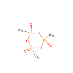 CC(C)(C)P1(=O)OP(=O)(C(C)(C)C)OP(=O)(C(C)(C)C)O1